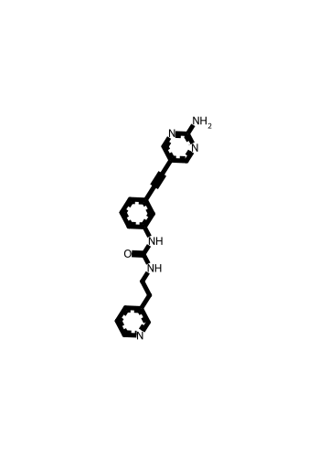 Nc1ncc(C#Cc2cccc(NC(=O)NCCc3cccnc3)c2)cn1